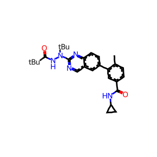 Cc1ccc(C(=O)NC2CC2)cc1-c1ccc2nc(N(NC(=O)C(C)(C)C)C(C)(C)C)ncc2c1